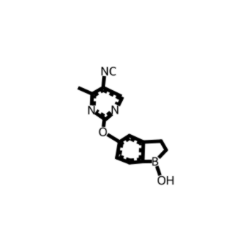 [C-]#[N+]c1cnc(Oc2ccc3c(c2)CCB3O)nc1C